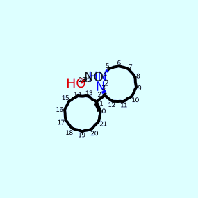 C1=C(C2=NNCCCCCCCC2)CCCCCCCCC1.O=[N+]([O-])O